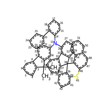 CC1(C)c2ccccc2-c2ccc(N(c3ccccc3-c3ccccc3)c3cccc4c3-c3ccccc3C43c4ccccc4Sc4ccc5ccccc5c43)cc21